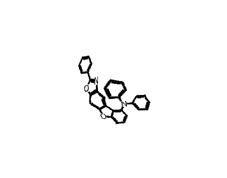 c1ccc(-c2nc3cc4c(cc3o2)oc2cccc(N(c3ccccc3)c3ccccc3)c24)cc1